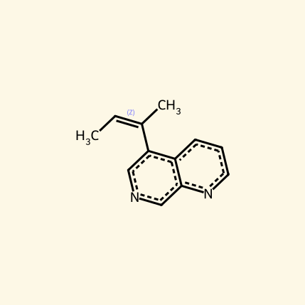 C/C=C(/C)c1cncc2ncccc12